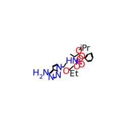 CCC(COP(=O)(NC(C)C(=O)OC(C)C)Oc1ccccc1)OC(C)n1ccc2c(N)ncnc21